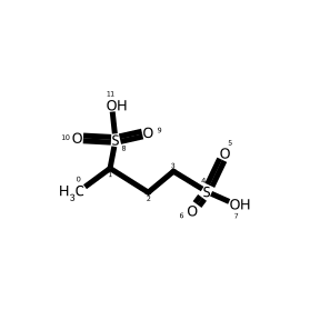 CC(CCS(=O)(=O)O)S(=O)(=O)O